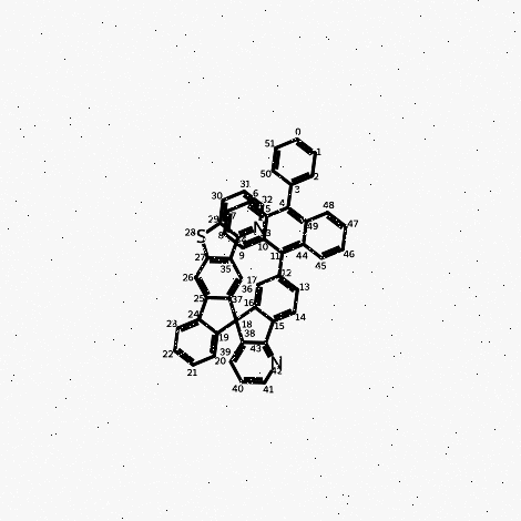 c1ccc(-c2c3ccccc3c(-c3ccc4c(c3)C3(c5ccccc5-c5cc6sc7cccnc7c6cc53)c3cccnc3-4)c3ccccc23)cc1